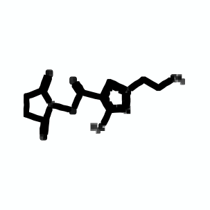 CCCn1cc(C(=O)ON2C(=O)CCC2=O)c(C)n1